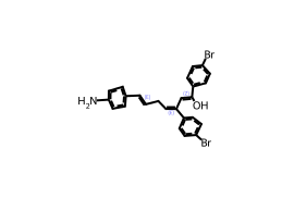 Nc1ccc(/C=C/C/C=C(\C=C(/O)c2ccc(Br)cc2)c2ccc(Br)cc2)cc1